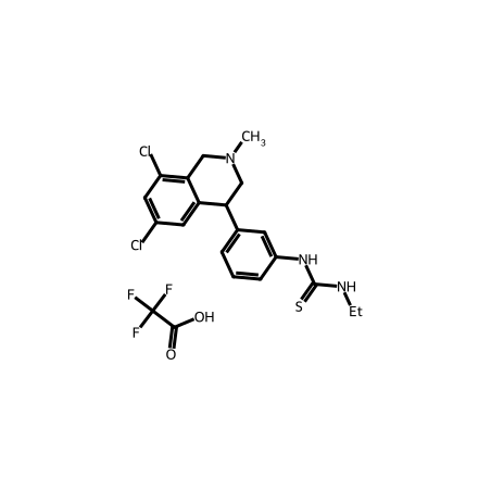 CCNC(=S)Nc1cccc(C2CN(C)Cc3c(Cl)cc(Cl)cc32)c1.O=C(O)C(F)(F)F